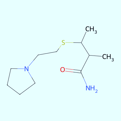 CC(SCCN1CCCC1)C(C)C(N)=O